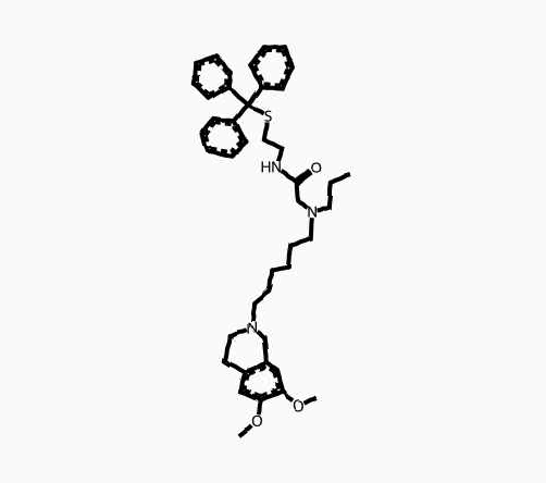 CCCN(CCCCCCN1CCc2cc(OC)c(OC)cc2C1)CC(=O)NCCSC(c1ccccc1)(c1ccccc1)c1ccccc1